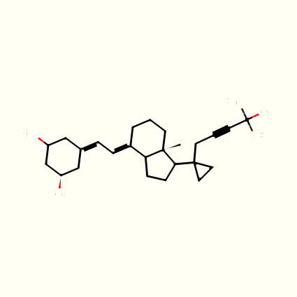 C[C@]12CCC/C(=C\C=C3\CC(O)C[C@H](O)C3)C1CCC2C1(CC#CC(O)(C(F)(F)F)C(F)(F)F)CC1